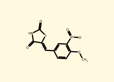 COc1ccc(/C=C2\SC(=O)NC2=O)cc1[N+](=O)[O-]